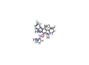 O=[N+]([O-])c1c2c([nH]c3ccc(F)cc32)c(OCC2CCCN2)c2[nH]c3ccc(F)cc3c12